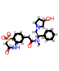 CN(C(=O)Cc1ccc2c(c1)NC(=O)CS2(=O)=O)[C@@H](CN1CCC(O)C1)c1ccccc1